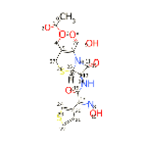 CC(=O)OCC1=C(C(=O)O)N2C(=O)[C@@H](NC(=O)C(=NO)c3ccsc3)[C@@H]2SC1